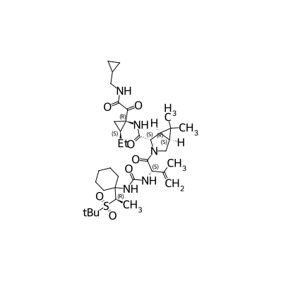 C=C(C)[C@H](NC(=O)NC1([C@@H](C)S(=O)(=O)C(C)(C)C)CCCCC1)C(=O)N1C[C@H]2[C@@H]([C@H]1C(=O)N[C@]1(C(=O)C(=O)NCC3CC3)C[C@@H]1CC)C2(C)C